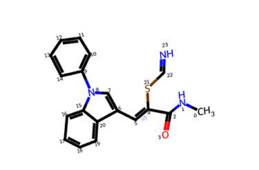 CNC(=O)/C(=C/c1cn(-c2ccccc2)c2ccccc12)SC=N